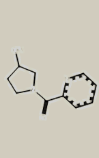 O=C(c1ccccn1)N1CCC(O)C1